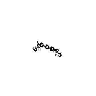 O=c1cc(C2CCCN2)[nH]c2cc(-c3ccc(-c4ccc(-c5cnc([C@@H]6CCCN6)[nH]5)cc4)cc3)ccc12